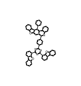 c1ccc(-c2c3c(cc4c(-c5ccc(-c6nc(-c7cccc8c7oc7ccccc78)nc(-c7cccc8c7oc7ccccc78)n6)cc5)nc5ccccc5c24)oc2ccccc23)cc1